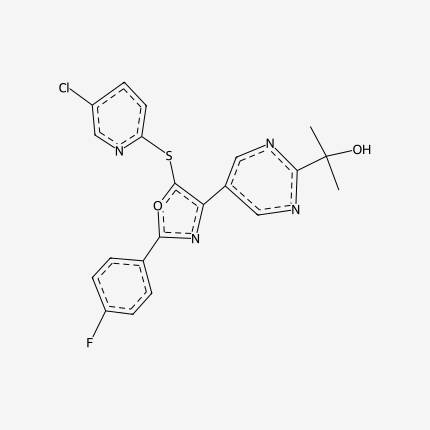 CC(C)(O)c1ncc(-c2nc(-c3ccc(F)cc3)oc2Sc2ccc(Cl)cn2)cn1